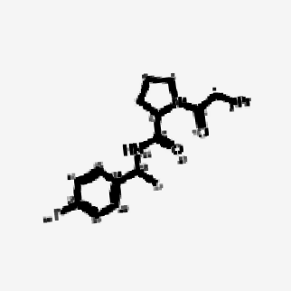 CC(C)CC(=O)N1CCCC1C(=O)NC(C)c1ccc(F)cc1